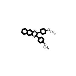 COc1ccc(-c2nc3cc4ccccc4cc3nc2-c2ccc(OC)cc2)cc1